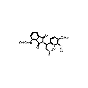 CCOc1nc(C(C[S+](C)[O-])N2C(=O)c3cccc(NC=O)c3C2=O)ccc1OC